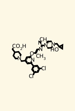 C=N/C(=N\C=C(/C)Oc1cc(CN2CCC(CC(=O)O)CC2)cc(-c2cc(Cl)cc(Cl)c2)n1)N1CCN(CC2(O)CC2)CC1